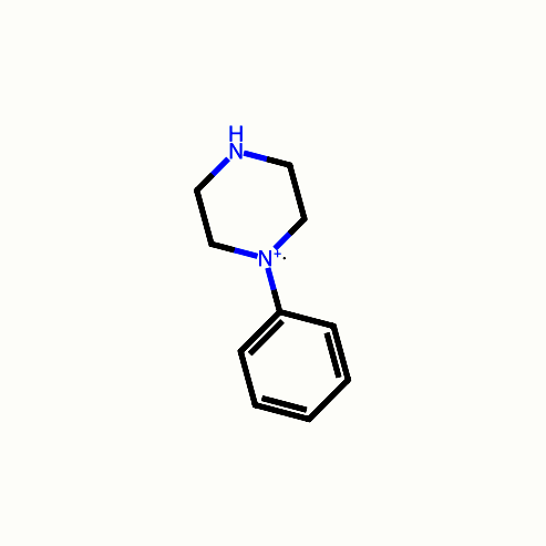 c1ccc([N+]2CCNCC2)cc1